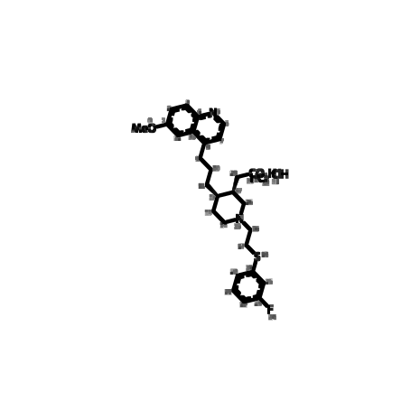 COc1ccc2nccc(CCC[C@@H]3CCN(CCSc4cccc(F)c4)C[C@@H]3CC(=O)O)c2c1.Cl.Cl